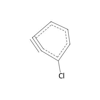 Clc1c#cccc1